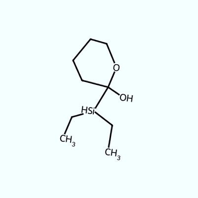 CC[SiH](CC)C1(O)CCCCO1